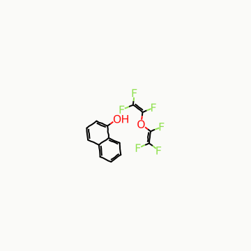 FC(F)=C(F)OC(F)=C(F)F.Oc1cccc2ccccc12